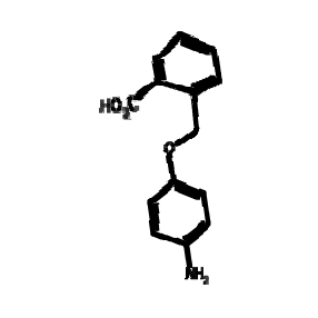 Nc1ccc(OCc2ccccc2C(=O)O)cc1